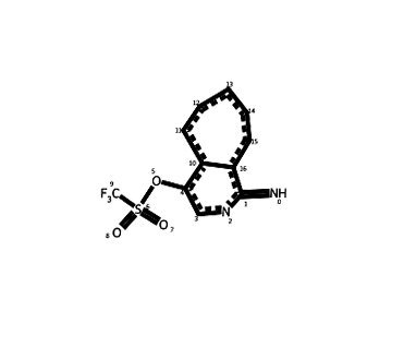 N=c1ncc(OS(=O)(=O)C(F)(F)F)c2cccccc1-2